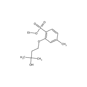 CCOS(=O)(=O)c1ccc(C)cc1OCCC(C)(C)O